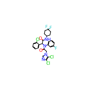 O=C(NC1CCC(F)(F)CC1)C(c1ccccc1Cl)N(C(=O)Cn1cnc(Cl)c1Cl)c1cccc(F)c1